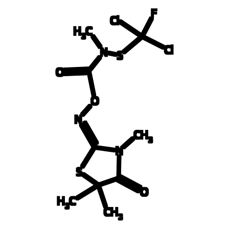 CN(SC(F)(Cl)Cl)C(=O)ON=C1SC(C)(C)C(=O)N1C